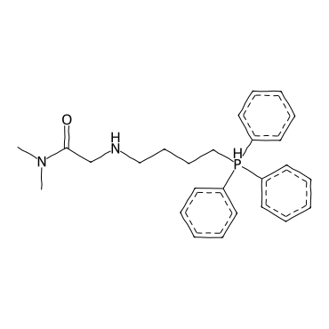 CN(C)C(=O)CNCCCC[PH](c1ccccc1)(c1ccccc1)c1ccccc1